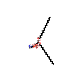 CCCCCC/C=C/CCCCCCCCCC(=O)OC[C@H](COP(=O)(O)OCC[N+](C)(C)C)OC(=O)CCCCCCCCC/C=C/CCCCCC